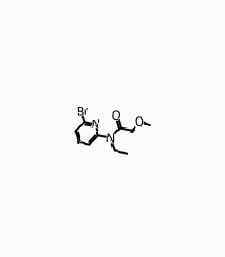 CCN(C(=O)COC)c1cccc(Br)n1